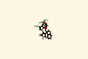 Cc1cn(C2=C(C3(CCCSC(=N)N)C=Nc4ccccc43)C(=O)NC2=O)c2ccccc12